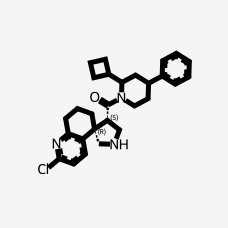 O=C([C@@H]1CNC[C@]12CCCc1nc(Cl)ccc12)N1CCC(c2ccccc2)CC1C1CCC1